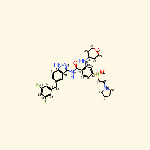 O=C(Nc1n[nH]c2ccc(Cc3cc(F)cc(F)c3)cc12)c1ccc([S+]([O-])CCN2CCCC2)cc1NC1CCOCC1